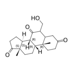 C[C@]12CCC(=O)CC1C(CO)C(=O)[C@@H]1[C@H]2CC[C@]2(C)C(=O)CC[C@@H]12